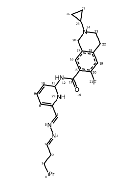 CC(C)CC/C=N/N=C/C1=CC=CC(NC(=O)c2cc3c(cc2F)CCN(C2CC2)C3)N1